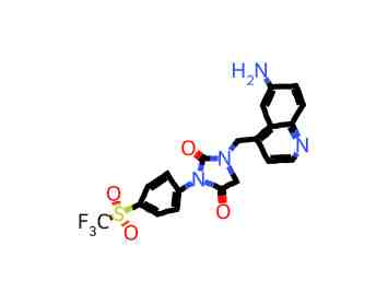 Nc1ccc2nccc(CN3CC(=O)N(c4ccc(S(=O)(=O)C(F)(F)F)cc4)C3=O)c2c1